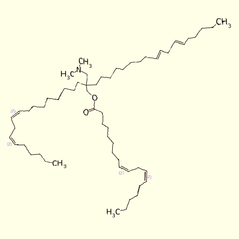 CCCCCC=CCC=CCCCCCCCCC(CCCCCCCC/C=C\C/C=C\CCCCC)(COC(=O)CCCCCCC/C=C\C/C=C\CCCCC)CN(C)C